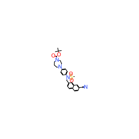 CC(C)(C)OC(=O)N1CCCN(c2ccc(N(Cc3ccc4ccc(C#N)cc4c3)S(C)(=O)=O)cc2)CC1